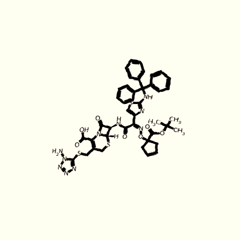 CC(C)(C)OC(=O)C1(O/N=C(\C(=O)N[C@@H]2C(=O)N3C(C(=O)O)=C(CSc4nnnn4N)CS[C@@H]23)c2csc(NC(c3ccccc3)(c3ccccc3)c3ccccc3)n2)CCCC1